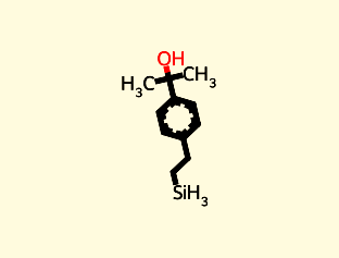 CC(C)(O)c1ccc(CC[SiH3])cc1